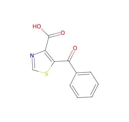 O=C(O)c1ncsc1C(=O)c1ccccc1